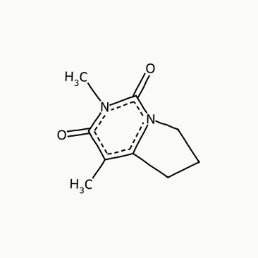 Cc1c2n(c(=O)n(C)c1=O)CCC2